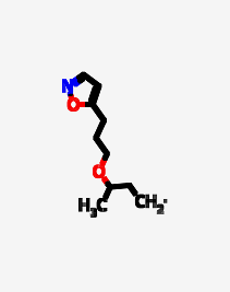 [CH2]CC(C)OCCCc1ccno1